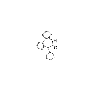 O=C1Nc2ccccc2-c2ccccc2C1C1CCCCC1